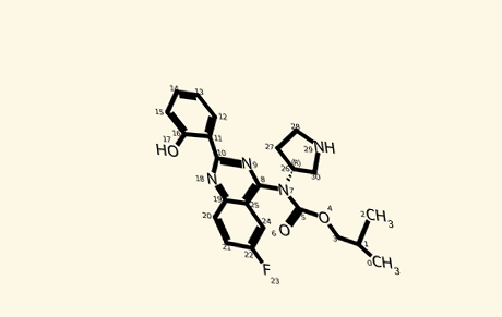 CC(C)COC(=O)N(c1nc(-c2ccccc2O)nc2ccc(F)cc12)[C@@H]1CCNC1